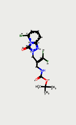 CC(C)(C)OC(=O)NCC(Cn1nc2cccc(Br)n2c1=O)=C(F)F